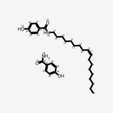 CCCCCCCC/C=C\CCCCCCCCNC(=O)c1ccc(O)cc1.NC(=O)c1ccc(O)cc1